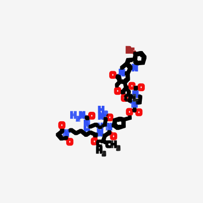 CC[C@@]1(OC(=O)N2CCN(C(=O)OCc3ccc(N(C(=O)[C@@H](NC(=O)CCCCCN4C(=O)C=CC4=O)C(C)C)[C@@H](CCCNC(N)=O)C(N)=O)cc3)CC2)C(=O)OCc2c1cc1n(c2=O)Cc2cc3c(Br)cccc3nc2-1